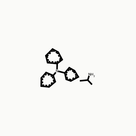 CC(C)N.c1ccc(N(c2ccccc2)c2ccccc2)cc1